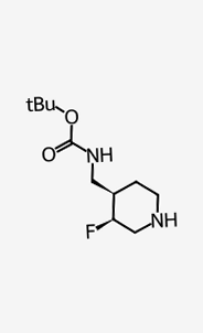 CC(C)(C)OC(=O)NC[C@H]1CCNC[C@H]1F